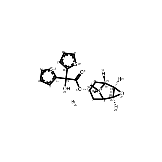 C[N+]1(C)C2C[C@H](OC(=O)C(O)(c3cccs3)c3cccs3)C[C@@H]1[C@H]1O[C@@H]21.[Br-]